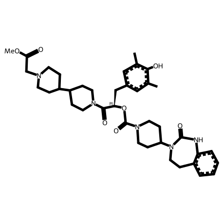 COC(=O)CN1CCC(C2CCN(C(=O)[C@@H](Cc3cc(C)c(O)c(C)c3)OC(=O)N3CCC(N4CCc5ccccc5NC4=O)CC3)CC2)CC1